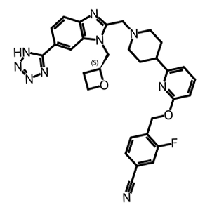 N#Cc1ccc(COc2cccc(C3CCN(Cc4nc5ccc(-c6nnn[nH]6)cc5n4C[C@@H]4CCO4)CC3)n2)c(F)c1